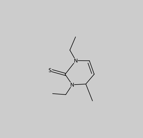 CCN1C=CC(C)N(CC)C1=S